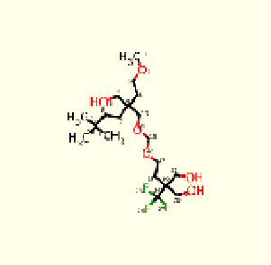 COCCC(CO)(CCC(C)(C)C)COCOCCC(CO)(CO)C(F)(F)F